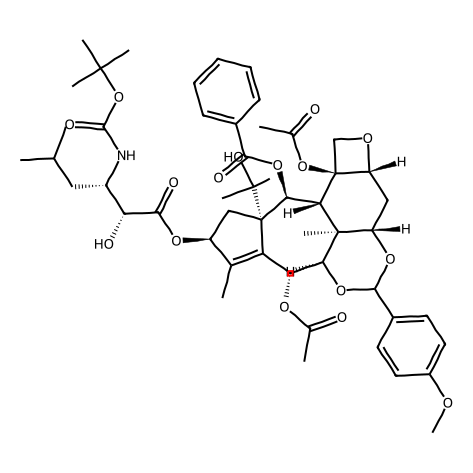 COc1ccc(C2O[C@H]3C[C@H]4OC[C@@]4(OC(C)=O)[C@H]4[C@H](OC(=O)c5ccccc5)[C@]5(C(C)(C)O)C[C@H](OC(=O)[C@H](O)[C@H](CC(C)C)NC(=O)OC(C)(C)C)C(C)=C5[C@@H](OC(C)=O)[C@H](O2)[C@]34C)cc1